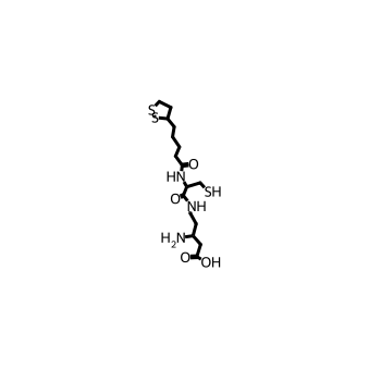 NC(CCNC(=O)C(CS)NC(=O)CCCCC1CCSS1)CC(=O)O